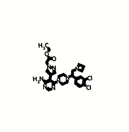 CCOC(=O)Cn1cc(-c2c(N)ncnc2N2CCN(C(CN3CCC3)c3ccc(Cl)c(Cl)c3)CC2)cn1